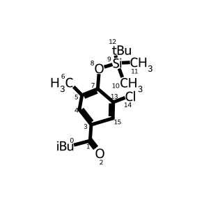 CCC(C)C(=O)c1cc(C)c(O[Si](C)(C)C(C)(C)C)c(Cl)c1